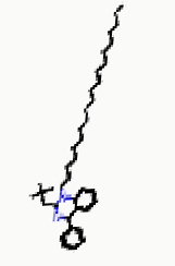 CCCCCCCCCCCCCCCCCCCCN1C(CC(C)(C)C)=NC(c2ccccc2)c2ccccc21